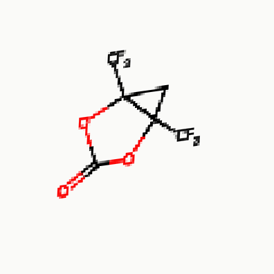 O=C1OC2(C(F)(F)F)CC2(C(F)(F)F)O1